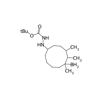 BC1(C)CCCCC(NNC(=O)OC(C)(C)C)CCC(C)C1C